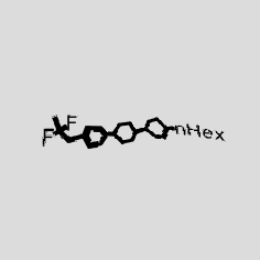 CCCCCCC1CCC(C2CCC(c3ccc(CC(C)(F)F)cc3)CC2)CC1